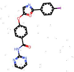 O=C(Nc1ncccn1)c1ccc(Oc2cnc(-c3ccc(I)cc3)o2)cc1